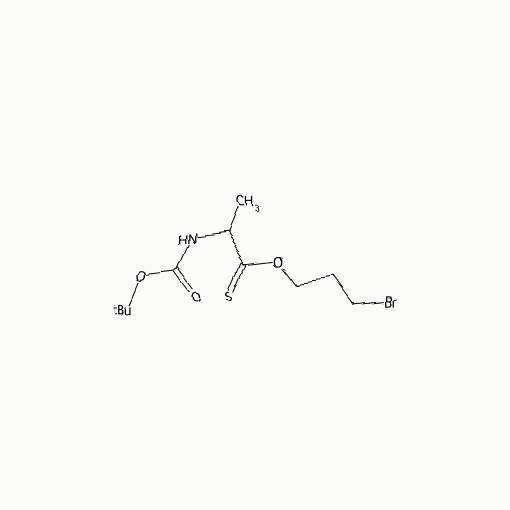 CC(NC(=O)OC(C)(C)C)C(=S)OCCCBr